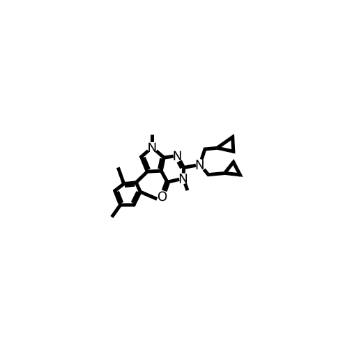 Cc1cc(C)c(-c2cn(C)c3nc(N(CC4CC4)CC4CC4)n(C)c(=O)c23)c(C)c1